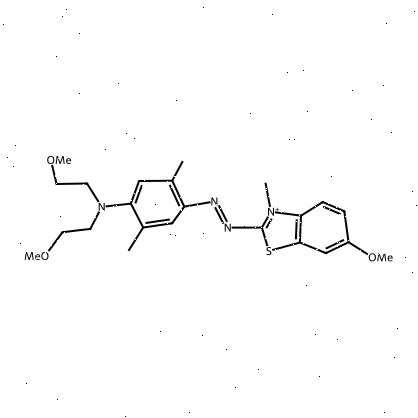 COCCN(CCOC)c1cc(C)c(/N=N/c2sc3cc(OC)ccc3[n+]2C)cc1C